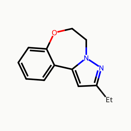 CCc1cc2n(n1)CCOc1ccccc1-2